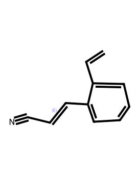 C=Cc1ccccc1/C=C/C#N